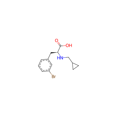 O=C(O)[C@H](Cc1cccc(Br)c1)NCC1CC1